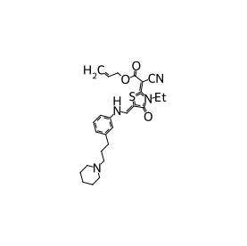 C=CCOC(=O)C(C#N)=c1sc(=CNc2cccc(CCCN3CCCCC3)c2)c(=O)n1CC